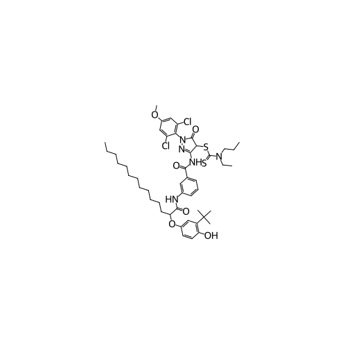 CCCCCCCCCCCCC(Oc1ccc(O)c(C(C)(C)C)c1)C(=O)Nc1cccc(C(=O)NC2=NN(c3c(Cl)cc(OC)cc3Cl)C(=O)C2SC(=S)N(CC)CCC)c1